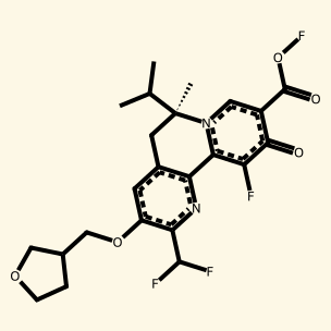 CC(C)[C@]1(C)Cc2cc(OCC3CCOC3)c(C(F)F)nc2-c2c(F)c(=O)c(C(=O)OF)cn21